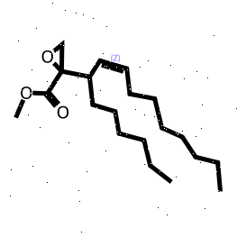 CCCCCCC/C=C\C(CCCCCC)C1(C(=O)OC)CO1